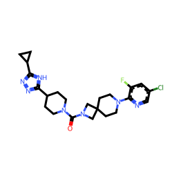 O=C(N1CCC(c2nnc(C3CC3)[nH]2)CC1)N1CC2(CCN(c3ncc(Cl)cc3F)CC2)C1